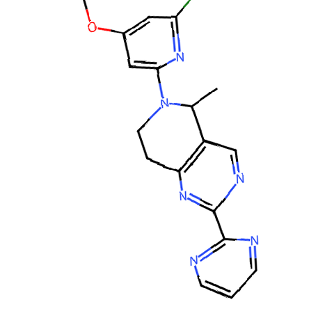 COc1cc(Cl)nc(N2CCc3nc(-c4ncccn4)ncc3C2C)c1